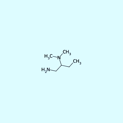 CCC(CN)N(C)C